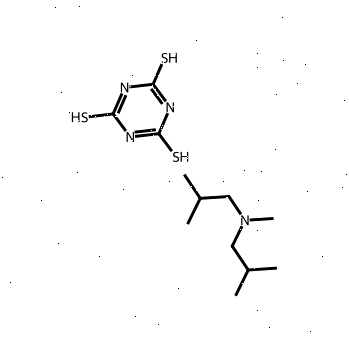 CC(C)CN(C)CC(C)C.Sc1nc(S)nc(S)n1